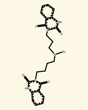 CC(=O)N(CCCCn1c(=O)[nH]c2ccccc2c1=O)CCCn1c(=O)[nH]c2ccccc2c1=O